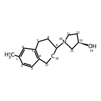 Cc1ccc2c(c1)CCC(N1CC[C@@H](O)C1)CC2